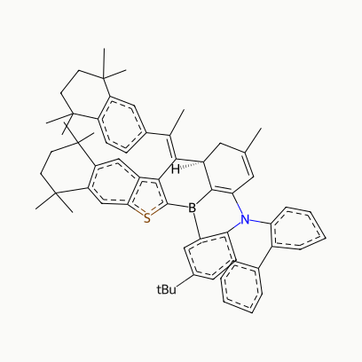 CC1=CC2=C3B(c4cc(C(C)(C)C)ccc4N2c2ccccc2-c2ccccc2)c2sc4cc5c(cc4c2/C(=C(/C)c2ccc4c(c2)C(C)(C)CCC4(C)C)[C@H]3C1)C(C)(C)CCC5(C)C